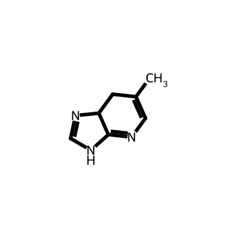 CC1=CN=C2NC=NC2C1